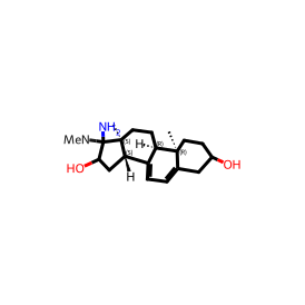 CNC1(N)C(O)C[C@H]2C3=CC=C4CC(O)CC[C@]4(C)[C@@H]3CC[C@@]21C